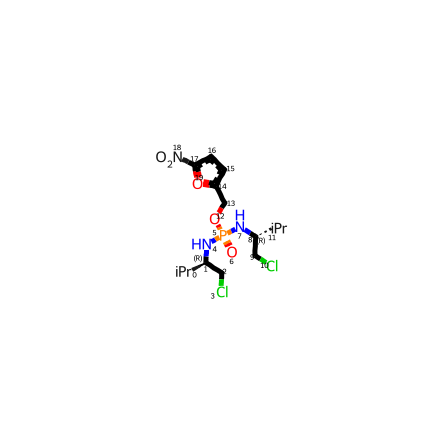 CC(C)[C@H](CCl)NP(=O)(N[C@@H](CCl)C(C)C)OCc1ccc([N+](=O)[O-])o1